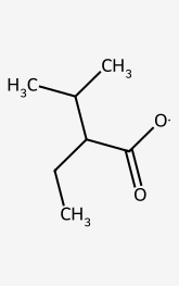 CCC(C([O])=O)C(C)C